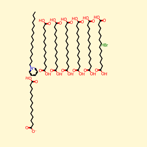 Br.CCCCCCCCCCCCCCCC[n+]1ccccc1.O=C(O)CCCCCCCCCCCCC(=O)O.O=C(O)CCCCCCCCCCCCC(=O)O.O=C(O)CCCCCCCCCCCCC(=O)O.O=C(O)CCCCCCCCCCCCC(=O)O.O=C(O)CCCCCCCCCCCCC(=O)O.O=C(O)CCCCCCCCCCCCC(=O)O.O=C([O-])CCCCCCCCCCCCC(=O)O